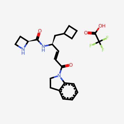 O=C(N[C@H](/C=C/C(=O)N1CCc2ccccc21)CC1CCC1)[C@@H]1CCN1.O=C(O)C(F)(F)F